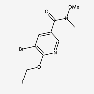 CON(C)C(=O)c1cnc(OCI)c(Br)c1